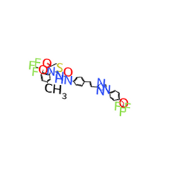 Cc1ccc(OC(F)(F)F)c(N2C(=O)CSC2=NC(=O)Nc2ccc(C=Cc3ncn(-c4ccc(OC(F)(F)F)cc4)n3)cc2)c1